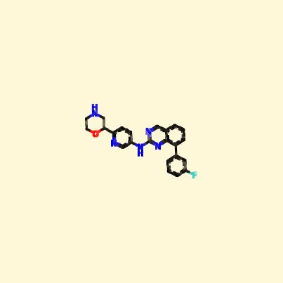 Fc1cccc(-c2cccc3cnc(Nc4ccc(C5CNCCO5)nc4)nc23)c1